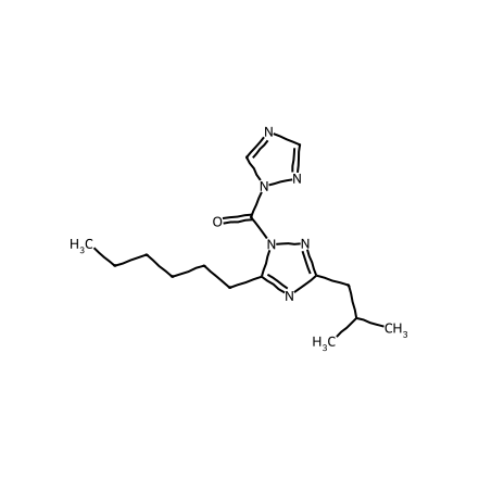 CCCCCCc1nc(CC(C)C)nn1C(=O)n1cncn1